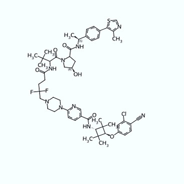 Cc1ncsc1-c1ccc([C@H](C)NC(=O)C2C[C@@H](O)CN2C(=O)C(NC(=O)CCC(F)(F)CN2CCN(c3ccc(C(=O)N[C@H]4C(C)(C)[C@H](Oc5ccc(C#N)c(Cl)c5)C4(C)C)cn3)CC2)C(C)(C)C)cc1